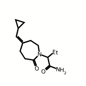 CCC(C(N)=O)N1CCC(=CC2CC2)CCC1=O